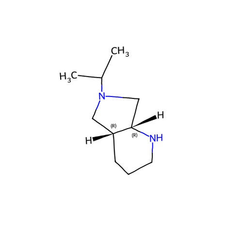 CC(C)N1C[C@H]2CCCN[C@H]2C1